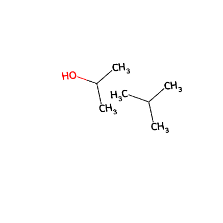 CC(C)C.CC(C)O